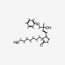 CC(O)(C=CC1CCC(=O)C1CCCCCCCO)COc1ccccc1